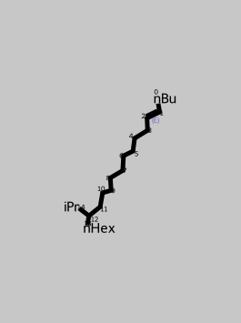 [CH2]CCC/C=C/CCCCCCCCCC(CCCCC[CH2])C(C)C